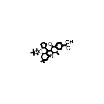 CC(C)c1nc2c(c(C3C=CCC3)c1C(=O)c1ccc(C(=O)O)cc1)C(O[Si](C)(C)C(C)(C)C)CC(C)(C)C2